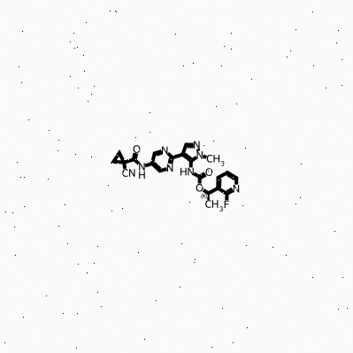 C[C@@H](OC(=O)Nc1c(-c2ncc(NC(=O)C3(C#N)CC3)cn2)cnn1C)c1cccnc1F